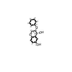 Oc1ccc2c(c1)[C@@H](O)[C@@H](Oc1ccccc1)CO2